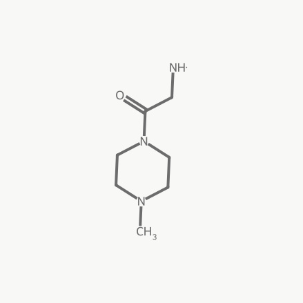 CN1CCN(C(=O)C[NH])CC1